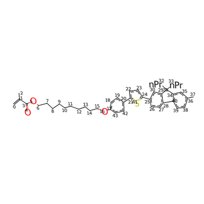 C=C(C)C(=O)OCCCCCCCCCCOc1ccc(-c2ccc(-c3ccc4c(c3)C(CCC)(CCC)c3cc(C)ccc3-4)s2)cc1